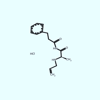 C=CCN[C@H](C)C(=O)NC(=O)CCc1ccccc1.Cl